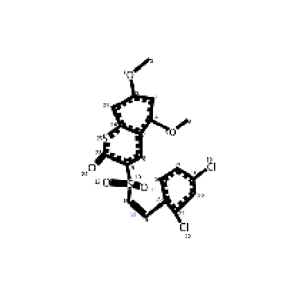 COc1cc(OC)c2cc(S(=O)(=O)/C=C\c3ccc(Cl)cc3Cl)c(=O)sc2c1